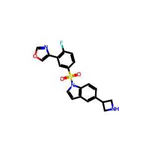 O=S(=O)(c1ccc(F)c(-c2cocn2)c1)n1ccc2cc(C3CNC3)ccc21